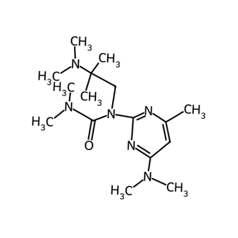 Cc1cc(N(C)C)nc(N(CC(C)(C)N(C)C)C(=O)N(C)C)n1